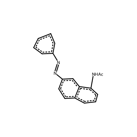 CC(=O)Nc1cccc2ccc(N=Nc3ccccc3)cc12